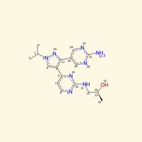 CC(C)n1cc(-c2ccnc(NC[C@H](C)O)n2)c(-c2cnc(N)nc2)n1